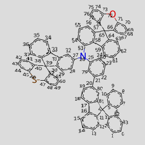 c1ccc(C2(c3ccccc3)c3ccccc3-c3ccc(-c4cccc(N(c5ccc6c(c5)-c5ccccc5C65c6ccccc6Sc6ccccc65)c5cccc6c5-c5ccccc5C65c6ccccc6Oc6ccccc65)c4)cc32)cc1